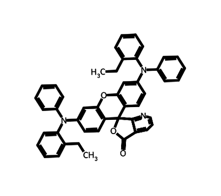 CCc1ccccc1N(c1ccccc1)c1ccc2c(c1)Oc1cc(N(c3ccccc3)c3ccccc3CC)ccc1C21OC(=O)c2cccnc21